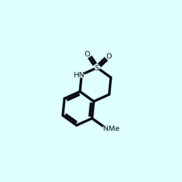 CNc1cccc2c1CCS(=O)(=O)N2